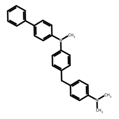 CN(C)c1ccc(Cc2ccc(N(C)c3ccc(-c4ccccc4)cc3)cc2)cc1